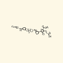 CC1(C)C[C@@H](Nc2cccc(-c3sc(C(=O)O)c(OCC(=O)O)c3Cl)c2)CCN1S(=O)(=O)Cc1cccc(NCCNC=O)c1